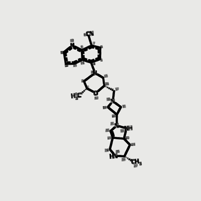 C[C@@H]1CN(c2ccc(C#N)c3ncccc23)C[C@H](CN2CC(N3C=C4CN[C@@H](C)CC4N3)C2)O1